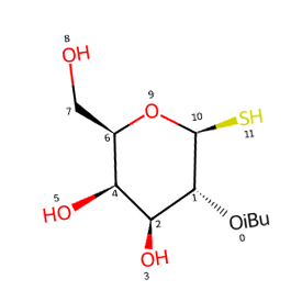 CC(C)CO[C@@H]1[C@@H](O)[C@@H](O)[C@@H](CO)O[C@H]1S